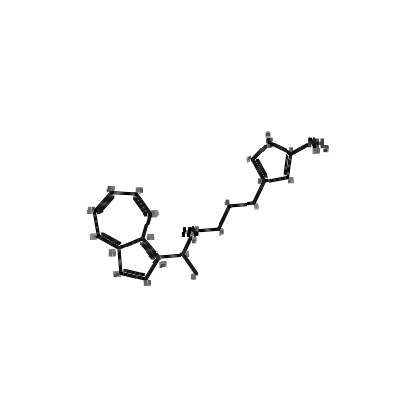 CC(NCCCc1csc(N)c1)c1ccc2cccccc1-2